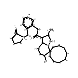 NC1NN2C(NCC(F)C23CCCCCCCC3)C1C(=O)Nc1cnccc1CN1CCCC1=O